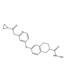 O=C(Cc1cc(Oc2ccc3c(c2)CCC(C(=O)NO)C3)ccn1)C1CC1